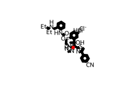 CCC(CC)NCc1ccccc1NC(=O)OCC[N+]1(C[C@](O)(c2cc(F)ccc2F)[C@@H](C)c2nc(-c3ccc(C#N)cc3)cs2)C=NC=N1.Cl.[Cl-]